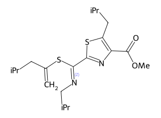 C=C(CC(C)C)S/C(=N\CC(C)C)c1nc(C(=O)OC)c(CC(C)C)s1